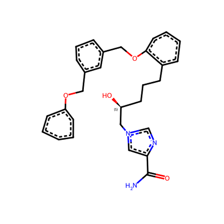 NC(=O)c1cn(C[C@@H](O)CCCc2ccccc2OCc2cccc(COc3ccccc3)c2)cn1